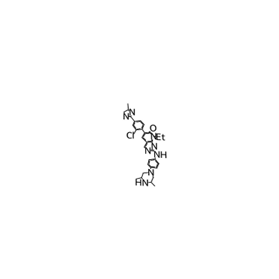 CCn1c(=O)c(-c2ccc(C3=NCC(C)=N3)cc2Cl)cc2cnc(Nc3ccc(N4CC(C)NC(C)C4)cc3)nc21